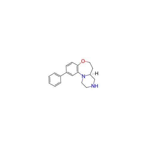 c1ccc(-c2ccc3c(c2)N2CCNC[C@@H]2CCO3)cc1